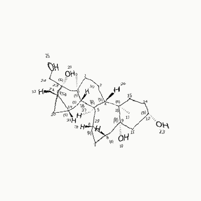 C[C@]12CC[C@H]3[C@@H]([C@H]4C[C@H]4[C@]4(O)C[C@@H](O)CC[C@]34C)[C@@H]1[C@@H]1C[C@@H]1[C@@]2(O)CO